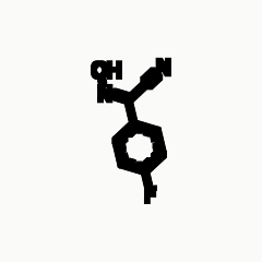 N#C/C(=N\O)c1ccc(F)cc1